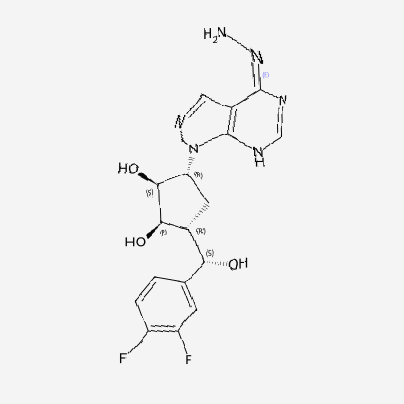 N/N=c1/nc[nH]c2c1cnn2[C@@H]1C[C@H]([C@H](O)c2ccc(F)c(F)c2)[C@@H](O)[C@H]1O